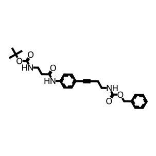 CC(C)(C)OC(=O)NCCC(=O)Nc1ccc(C#CCCNC(=O)OCc2ccccc2)cc1